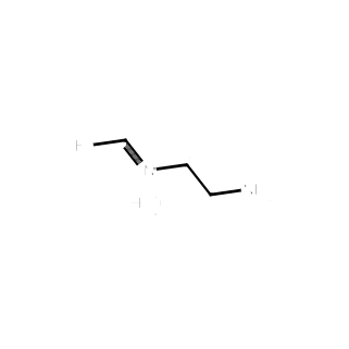 CCC=NCCN.O